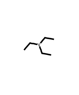 C[CH2][V]([CH2]C)[CH2]C